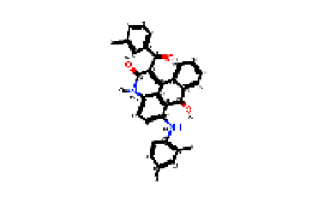 Cc1cccc(C(=O)c2c3c4c(c(Nc5ccc(C)cc5C)ccc4n(C)c2=O)C(=O)c2ccccc2-3)c1